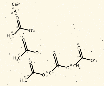 CC(=O)[O-].CC(=O)[O-].CC(=O)[O-].CC(=O)[O-].CC(=O)[O-].[Al+3].[Ca+2]